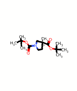 CC(C)(C)OC(=O)N1CC[C@](C)(C(=O)OC(C)(C)C)C1